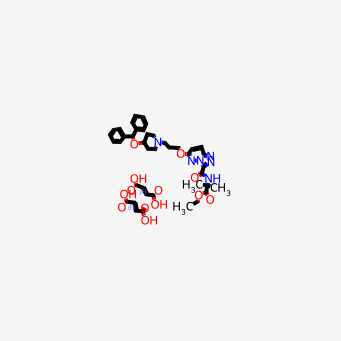 CCOC(=O)C(C)(C)NC(=O)c1nnc2ccc(OCCCN3CCC(OC(c4ccccc4)c4ccccc4)CC3)nn12.O=C(O)/C=C/C(=O)O.O=C(O)/C=C/C(=O)O